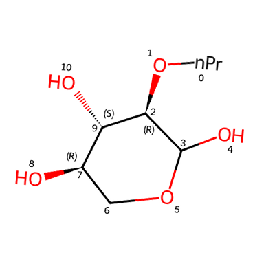 CCCO[C@H]1C(O)OC[C@@H](O)[C@@H]1O